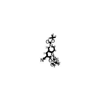 CC(C)(C)OC(=O)N1CCc2nc(OS(=O)(=O)C(F)(F)F)c(C#N)cc2C1